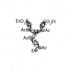 CCOCC(CN1CCN(CC(COCC(CC)(COCC(CN2CCN(C(=O)OCC)CC2)OC(C)=O)COCC(CN2CCN(C(=O)OCC)CC2)OC(C)=O)OC(C)=O)CC1)OC(C)=O